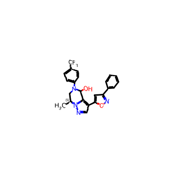 C[C@H]1CN(c2ccc(C(F)(F)F)cc2)C(O)c2c(-c3cc(-c4ccccc4)no3)cnn21